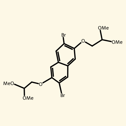 COC(COc1cc2cc(Br)c(OCC(OC)OC)cc2cc1Br)OC